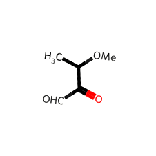 COC(C)C(=O)C=O